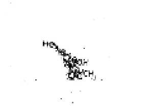 CCC(=O)N1CC(C(=O)O)N(S(=O)(=O)c2ccc(OCC#CCO)cc2)Cc2ccccc21